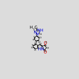 CC1=NN(c2ccc(-c3ccccc3/C=C3\NC(=O)CC3=O)cc2)CN1